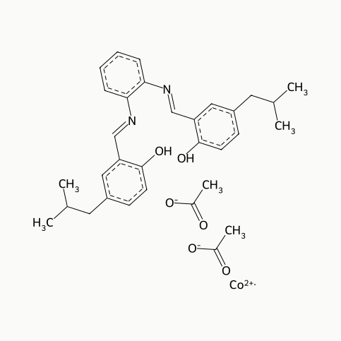 CC(=O)[O-].CC(=O)[O-].CC(C)Cc1ccc(O)c(C=Nc2ccccc2N=Cc2cc(CC(C)C)ccc2O)c1.[Co+2]